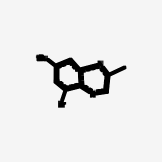 Cc1cnc2c(Br)cc(C(C)(C)C)cc2n1